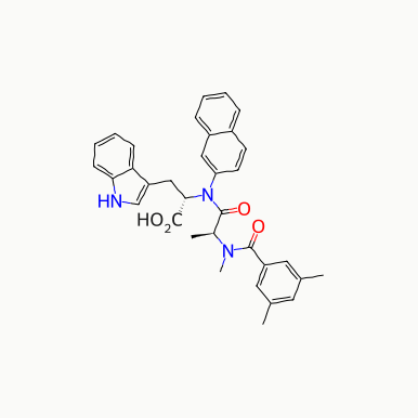 Cc1cc(C)cc(C(=O)N(C)[C@@H](C)C(=O)N(c2ccc3ccccc3c2)[C@@H](Cc2c[nH]c3ccccc23)C(=O)O)c1